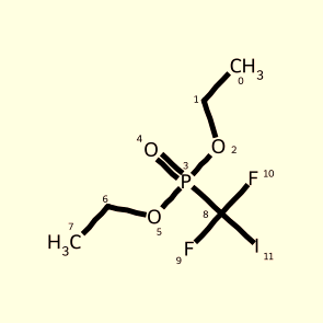 CCOP(=O)(OCC)C(F)(F)I